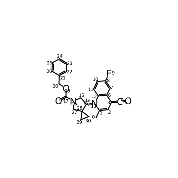 CC1=CC(=C=O)c2cc(F)ccc2N1[C@@H]1CN(C(=O)OCc2ccccc2)CC12CC2